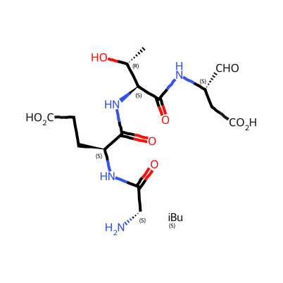 CC[C@H](C)[C@H](N)C(=O)N[C@@H](CCC(=O)O)C(=O)N[C@H](C(=O)N[C@H](C=O)CC(=O)O)[C@@H](C)O